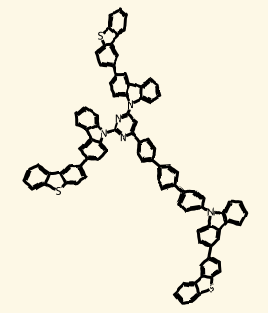 c1ccc2c(c1)sc1ccc(-c3ccc4c(c3)c3ccccc3n4-c3ccc(-c4ccc(-c5ccc(-c6cc(-n7c8ccccc8c8cc(-c9ccc%10sc%11ccccc%11c%10c9)ccc87)nc(-n7c8ccccc8c8cc(-c9ccc%10sc%11ccccc%11c%10c9)ccc87)n6)cc5)cc4)cc3)cc12